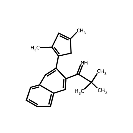 CC1=CC(C)=C(c2cc3ccccc3cc2C(=N)C(C)(C)C)C1